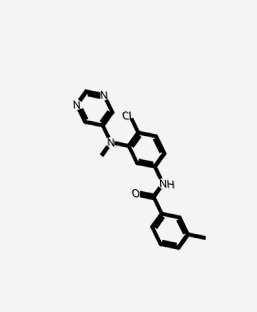 Cc1cccc(C(=O)Nc2ccc(Cl)c(N(C)c3cncnc3)c2)c1